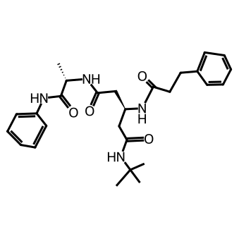 C[C@H](NC(=O)C[C@H](CC(=O)NC(C)(C)C)NC(=O)CCc1ccccc1)C(=O)Nc1ccccc1